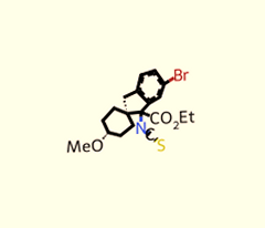 CCOC(=O)C1(N=C=S)c2cc(Br)ccc2C[C@]12CC[C@@H](OC)CC2